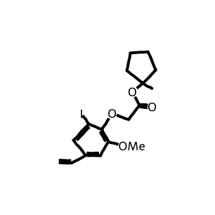 C=Cc1cc(I)c(OCC(=O)OC2(C)CCCC2)c(OC)c1